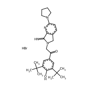 Br.CC(C)(C)c1cc(C(=O)CN2Cc3ccc(N4CCCC4)nc3C2=N)cc(C(C)(C)C)c1O